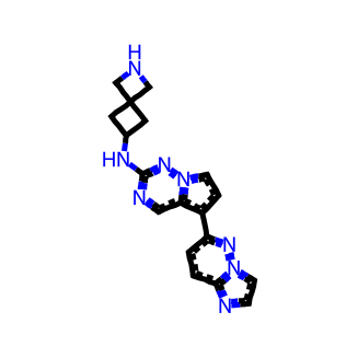 c1cn2nc(-c3ccn4nc(NC5CC6(CNC6)C5)ncc34)ccc2n1